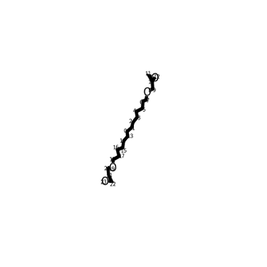 C(CCCCCCCOCC1CO1)CCCCCCOCC1CO1